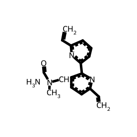 C=Cc1cccc(-c2cccc(C=C)n2)n1.CN(C)C=O.N